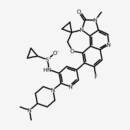 CN(C)C1CCN(c2ncc(-c3c(F)cc4ncc5c6c4c3OCC3(CC3)n6c(=O)n5C)cc2N[S+]([O-])C2CC2)CC1